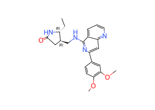 CC[C@H]1NC(=O)C[C@@H]1CNc1nc(-c2ccc(OC)c(OC)c2)cc2ncccc12